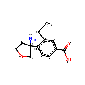 CCc1cc(C(=O)O)ccc1C1(N)CCOC1